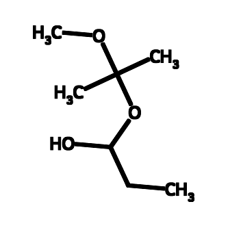 CCC(O)OC(C)(C)OC